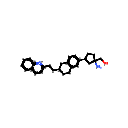 N[C@]1(CO)CC[C@H](c2ccc3c(c2)CC[C@@H](CCc2ccc4ccccc4n2)C3)C1